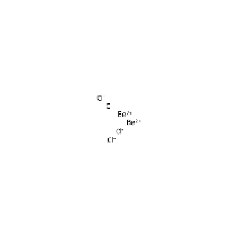 [Be+2].[Be+2].[Cl-].[Cl-].[Cl-].[Cl-]